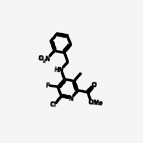 COC(=O)c1nc(Cl)c(F)c(NCc2ccccc2[N+](=O)[O-])c1C